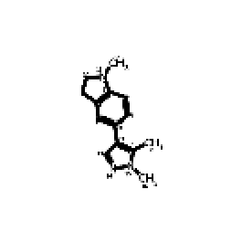 Cc1c(-c2ccc3c(c2)CCN3C)cnn1C